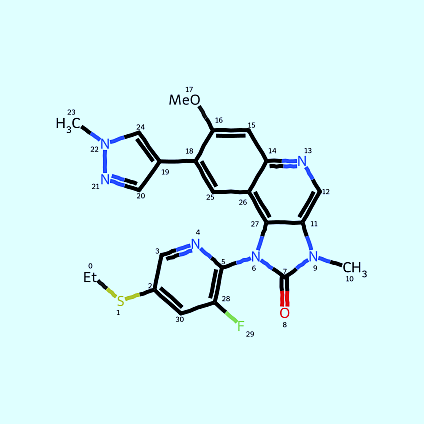 CCSc1cnc(-n2c(=O)n(C)c3cnc4cc(OC)c(-c5cnn(C)c5)cc4c32)c(F)c1